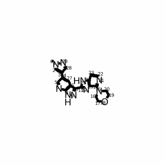 Cn1cc(-c2cnc3[nH]nc(-c4nc5c(N6CCOCC6)nccc5[nH]4)c3c2)cn1